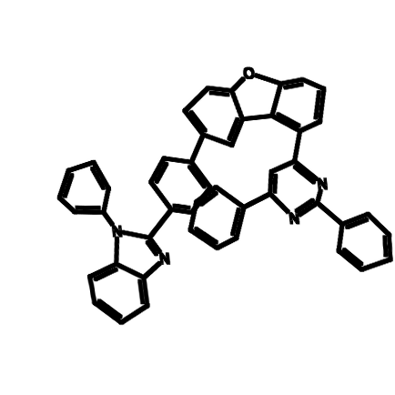 c1ccc(-c2cc(-c3cccc4oc5ccc(-c6ccc(-c7nc8ccccc8n7-c7ccccc7)cc6)cc5c34)nc(-c3ccccc3)n2)cc1